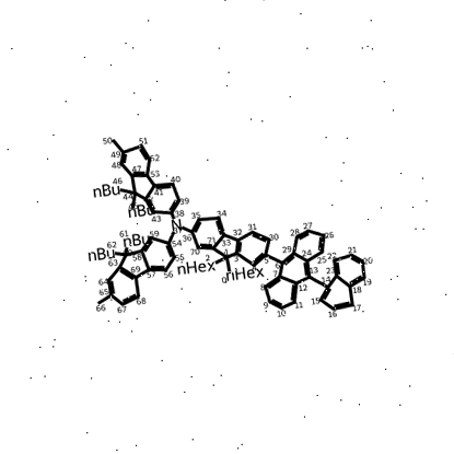 CCCCCCC1(CCCCCC)c2cc(-c3c4ccccc4c(-c4cccc5ccccc45)c4ccccc34)ccc2-c2ccc(N(c3ccc4c(c3)C(CCCC)(CCCC)c3cc(C)ccc3-4)c3ccc4c(c3)C(CCCC)(CCCC)c3cc(C)ccc3-4)cc21